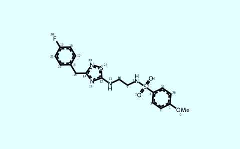 COc1ccc(S(=O)(=O)NCCNc2nc(Cc3ccc(F)cc3)ns2)cc1